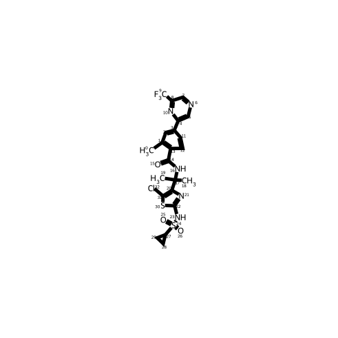 Cc1cc(-c2cncc(C(F)(F)F)n2)ccc1C(=O)NC(C)(C)c1nc(NS(=O)(=O)C2CC2)sc1Cl